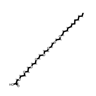 CCCCCCCCCCCCOCCOCCOCCOCCOCCOCCOCCOCC(=O)O